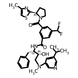 Cc1csc([C@H]2CCCN2C(=O)c2cc(C(=O)N[C@@H](Cc3ccccc3)[C@H](O)CN(C)c3cncc(C(C)C)c3)cc(C(F)F)c2)n1